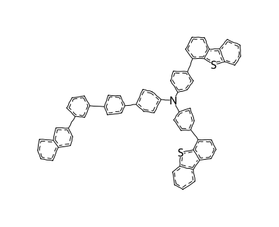 c1cc(-c2ccc(-c3ccc(N(c4ccc(-c5cccc6c5sc5ccccc56)cc4)c4ccc(-c5cccc6c5sc5ccccc56)cc4)cc3)cc2)cc(-c2ccc3ccccc3c2)c1